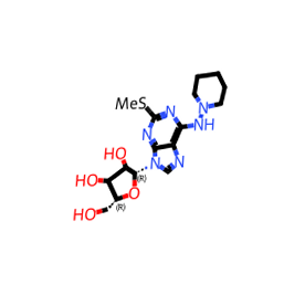 CSc1nc(NN2CCCCC2)c2ncn([C@@H]3O[C@H](CO)C(O)C3O)c2n1